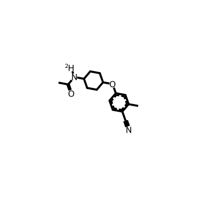 [2H]N(C(C)=O)C1CCC(Oc2ccc(C#N)c(C)c2)CC1